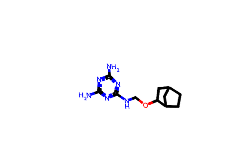 Nc1nc(N)nc(NCOC2CC3CCC2C3)n1